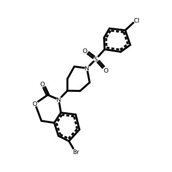 O=C1OCc2cc(Br)ccc2N1C1CCN(S(=O)(=O)c2ccc(Cl)cc2)CC1